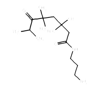 CC(C)C(=O)C(C)(C)CC(C)(C)CC(=O)NCCCN